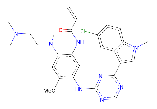 C=CC(=O)Nc1cc(Nc2ncnc(-c3cn(C)c4ccc(Cl)cc34)n2)c(OC)cc1N(C)CCN(C)C